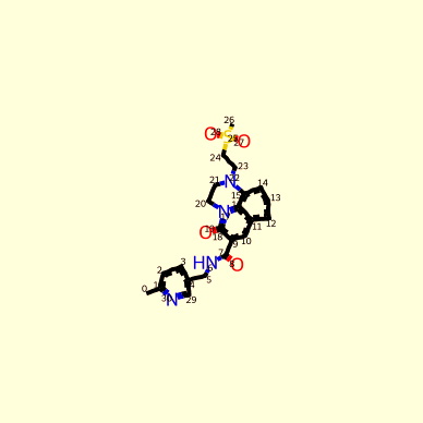 Cc1ccc(CNC(=O)c2cc3cccc4c3n(c2=O)CCN4CCS(C)(=O)=O)cn1